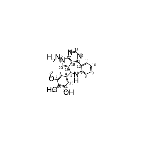 COc1cc(C2Nc3ccccc3-c3ncnc4c3c2cn4N)cc(O)c1O